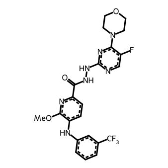 COc1nc(C(=O)NNc2ncc(F)c(N3CCOCC3)n2)ccc1Nc1cccc(C(F)(F)F)c1